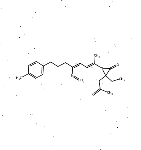 C=N/C(=C\C=C(/C)N1C(=O)C1(CC)CC(C)=O)CCCc1ccc(C)cc1